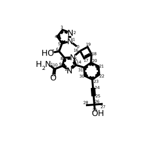 Cn1nccc1C(O)c1c(C(N)=O)nc2n1C1C=C(C1)c1ccc(C#CC(C)(C)O)cc1-2